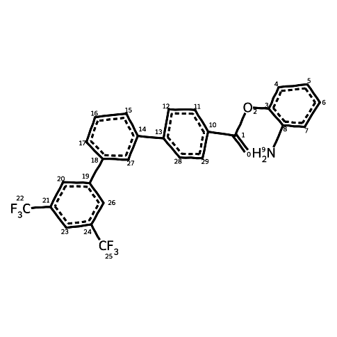 C=C(Oc1ccccc1N)c1ccc(-c2cccc(-c3cc(C(F)(F)F)cc(C(F)(F)F)c3)c2)cc1